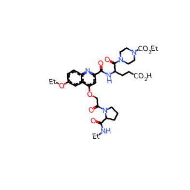 CCNC(=O)C1CCCN1C(=O)COc1cc(C(=O)NC(CCC(=O)O)C(=O)N2CCN(C(=O)OCC)CC2)nc2ccc(OCC)cc12